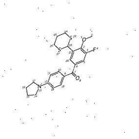 COc1c(F)cc(C(=O)c2ccc(N3CCCC3)cc2)cc1C1SCCCS1